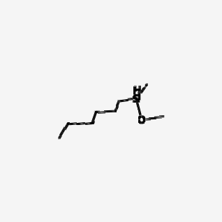 CCCCCC[SiH](C)OC